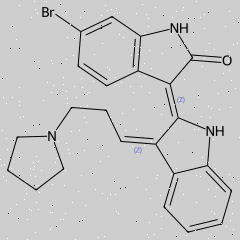 O=C1Nc2cc(Br)ccc2/C1=c1/[nH]c2ccccc2/c1=C/CCN1CCCC1